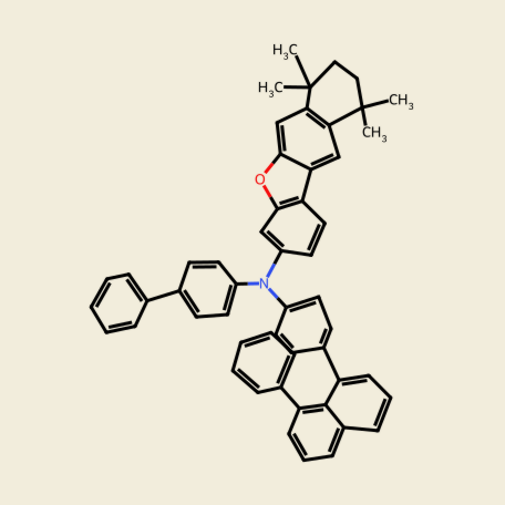 CC1(C)CCC(C)(C)c2cc3c(cc21)oc1cc(N(c2ccc(-c4ccccc4)cc2)c2ccc(-c4cccc5cccc(-c6ccccc6)c45)cc2)ccc13